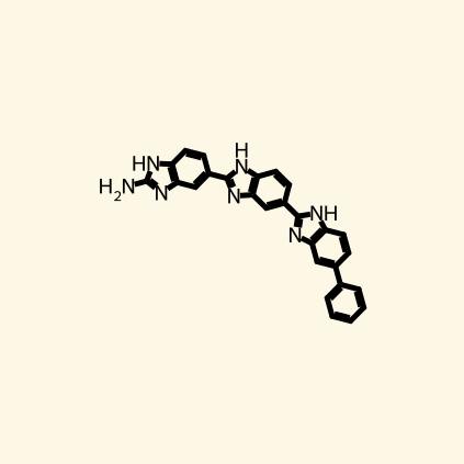 Nc1nc2cc(-c3nc4cc(-c5nc6cc(-c7ccccc7)ccc6[nH]5)ccc4[nH]3)ccc2[nH]1